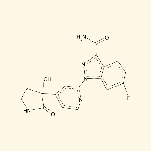 NC(=O)c1nn(-c2cc([C@]3(O)CCNC3=O)ccn2)c2cc(F)ccc12